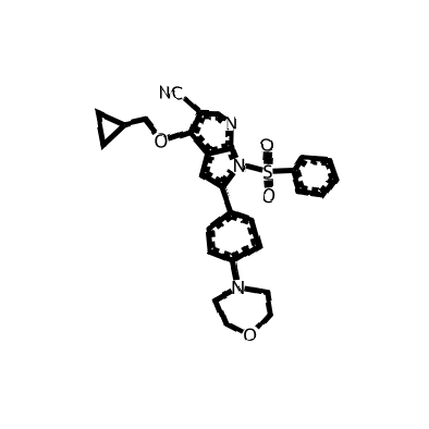 N#Cc1cnc2c(cc(-c3ccc(N4CCOCC4)cc3)n2S(=O)(=O)c2ccccc2)c1OCC1CC1